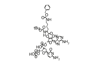 CC(C)(C)OC(=O)N[C@@H](CCCCNC(=O)OCc1ccccc1)C(=O)O[C@H]1[C@@H](O)[C@H](n2cnc3c(N)ncnc32)O[C@@H]1COP(=O)(O)[C@H]1C[C@H](n2ccc(N)nc2=O)OC1COP(=O)(O)O